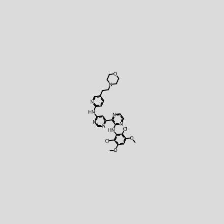 COc1cc(OC)c(Cl)c(Nc2nccnc2-c2cc(Nc3ccc(CCN4CCOCC4)cn3)ncn2)c1Cl